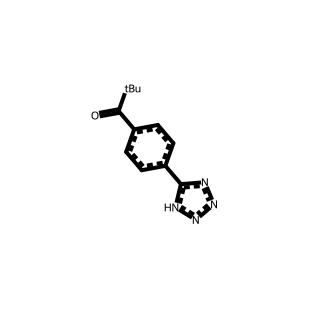 CC(C)(C)C(=O)c1ccc(-c2nnn[nH]2)cc1